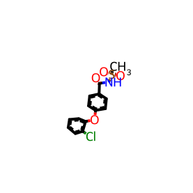 CS(=O)(=O)NC(=O)c1ccc(Oc2ccccc2Cl)cc1